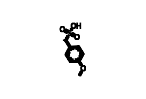 COc1ccc([CH]S(=O)(=O)O)cc1